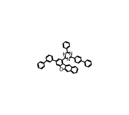 c1ccc(-c2ccc(-c3nc(-c4ccccc4)nc(-c4cc(-c5cccc(-c6ccccc6)c5)cc5oc6cc7ccccc7cc6c45)n3)cc2)cc1